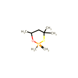 C=P1(C)OC(C)CC(C)(C)S1